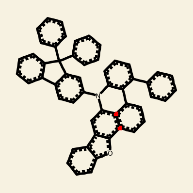 c1ccc(-c2cccc(N(c3ccc4c(c3)C(c3ccccc3)(c3ccccc3)c3ccccc3-4)c3ccc4oc5ccccc5c4c3)c2-c2ccccc2)cc1